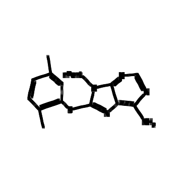 CCCCCn1c(Sc2cc(C)ccc2C)nc2c(N)ncnc21